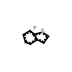 [Si].c1ccc2[nH]ccc2c1